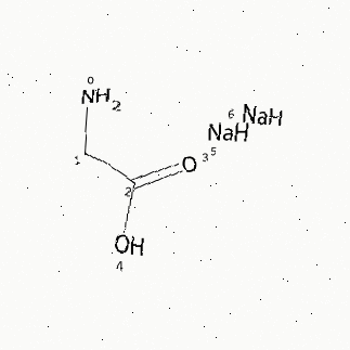 NCC(=O)O.[NaH].[NaH]